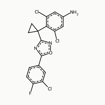 Nc1cc(Cl)c(C2(c3noc(-c4ccc(F)c(Cl)c4)n3)CC2)c(Cl)c1